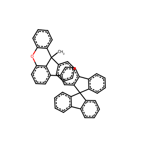 CC1(c2ccccc2)c2ccccc2Oc2cccc(-c3ccc4c(c3)C3(c5ccccc5-c5ccccc53)c3ccccc3-4)c21